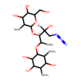 CCC(O)(CN=[N+]=[N-])[C@H](OC1OC(CO)C(O)C(O)C1NC)C(OC)OC1C(O)C(O)C(NC(C)=O)C(O)C1NC(C)=O